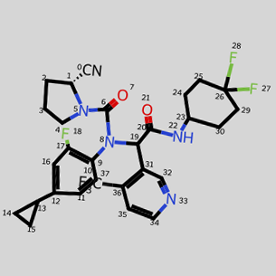 N#C[C@H]1CCCN1C(=O)N(c1ccc(C2CC2)cc1F)C(C(=O)NC1CCC(F)(F)CC1)c1cnccc1C(F)(F)F